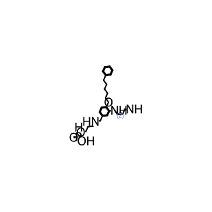 N=C/C=C\Nc1cc(CNCCCO[PH](=O)O)ccc1OCCCCCc1ccccc1